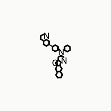 c1ccc(N(c2ccc(-c3ccc4cccnc4c3)cc2)c2cnc3c(c2)oc2cc4ccccc4cc23)cc1